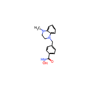 CN1CCN(Cc2ccc(C(=O)NO)cc2)c2ccccc21